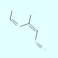 CC(C)(C)C(=C/N=N)/N=C\I